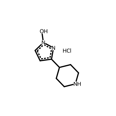 Cl.On1ccc(C2CCNCC2)n1